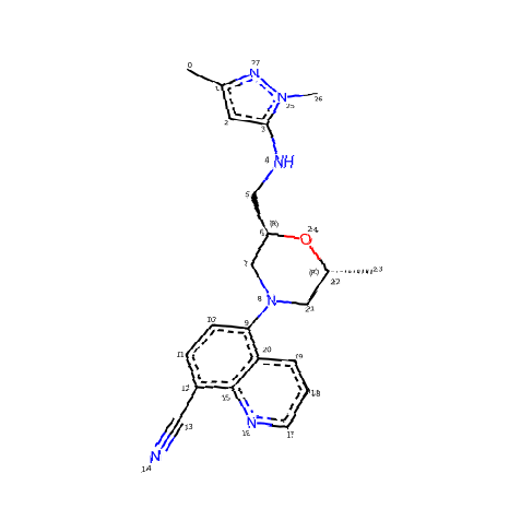 Cc1cc(NC[C@@H]2CN(c3ccc(C#N)c4ncccc34)C[C@@H](C)O2)n(C)n1